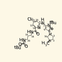 C[C@@H]1CC[C@H](c2cc(Nc3cc(Cl)cc(C(=O)NCCCNC(=O)OC(C)(C)C)n3)n(C(C)(C)C)n2)C1